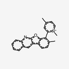 Cc1cc[n+](C)c(-c2c(C)ccc3c2oc2nc4ccccc4cc23)c1